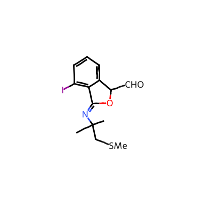 CSCC(C)(C)N=C1OC(C=O)c2cccc(I)c21